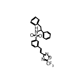 O=S(=O)(NC(Cc1ccccc1)c1ccccc1)c1cccc(/C=C/c2noc(C(F)(F)F)n2)c1